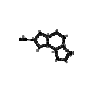 CC(=O)Oc1cc2cnc3[nH]ccc3c2s1